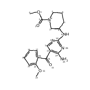 COC(=O)N1CCCC(Nc2ncc(C(=O)c3ccccc3OC)c(N)n2)C1